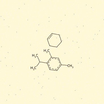 C1=CCCCC1.Cc1ccc(C(C)C)c(C)c1